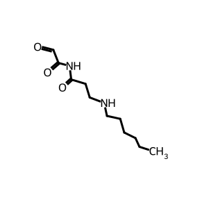 CCCCCCNCCC(=O)NC(=O)C=O